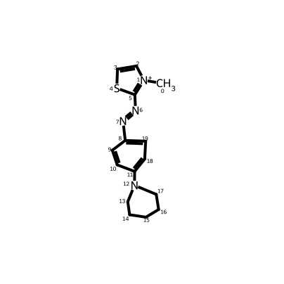 C[n+]1ccsc1/N=N/c1ccc(N2CCCCC2)cc1